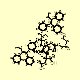 CCC(=C(c1ccccc1)c1ccc(OC(COC(=O)CC(O)(CC(=O)O)C(=O)O)(OC(CC(=O)O)(CC(=O)OCN(C)CCOc2ccc(/C(=C(/CC)c3ccccc3)c3ccccc3)cc2)C(=O)O)N(C)C)cc1)c1ccccc1